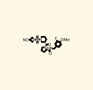 COc1ccc(CNC(=O)[C@H]2CCCN2C(=O)[C@H]2CCCN(S(=O)(=O)N3CC(C#N)C3)C2)cc1F